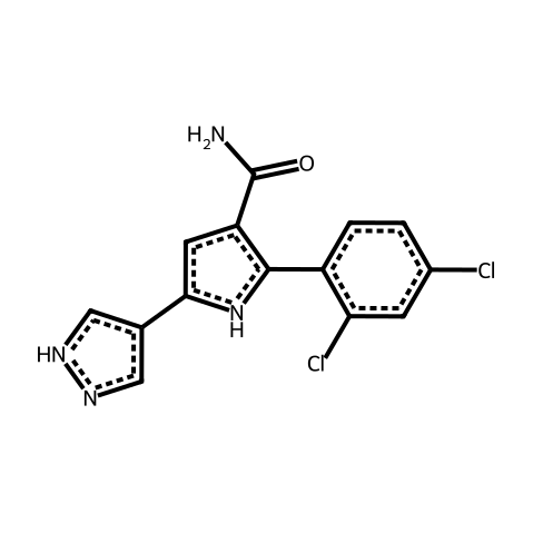 NC(=O)c1cc(-c2cn[nH]c2)[nH]c1-c1ccc(Cl)cc1Cl